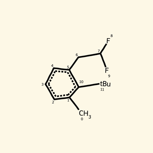 Cc1cccc(CC(F)F)c1C(C)(C)C